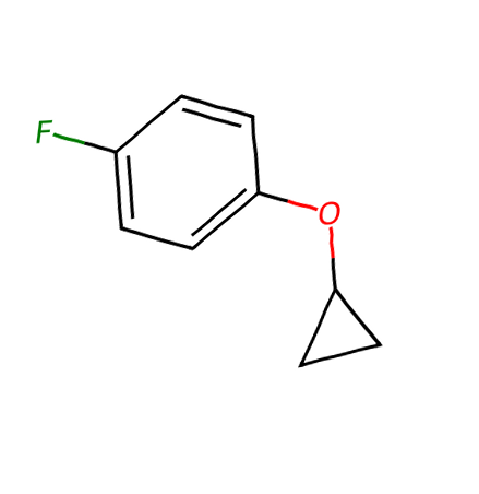 Fc1ccc(OC2CC2)cc1